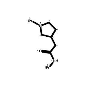 CC(C)NC(=O)CC1CCN(C(C)C)C1